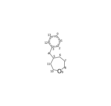 c1ccc(CC2CCCOCC2)cc1